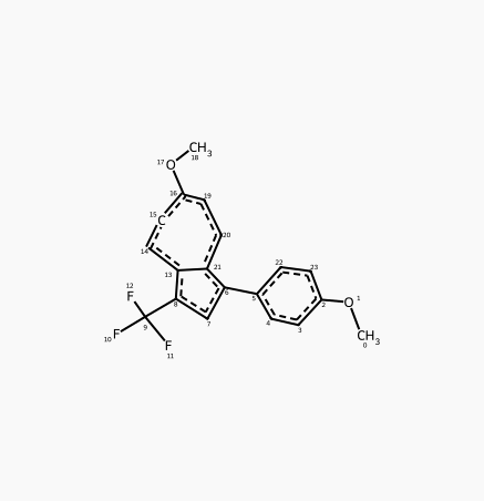 COc1ccc(-c2cc(C(F)(F)F)c3ccc(OC)ccc2-3)cc1